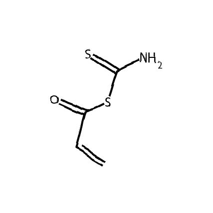 C=CC(=O)SC(N)=S